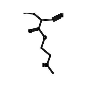 CCC(C#N)C(=O)OCCNC